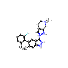 Cc1cccc(F)c1-c1cc2c(-n3cc4c(n3)CN(C)CC4)n[nH]c2cc1C#N